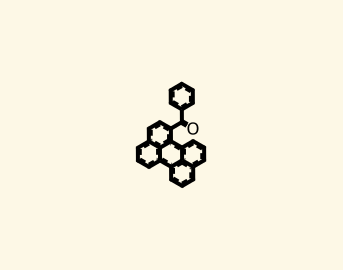 O=C(c1ccccc1)c1ccc2cccc3c4cccc5cccc(c1c23)c54